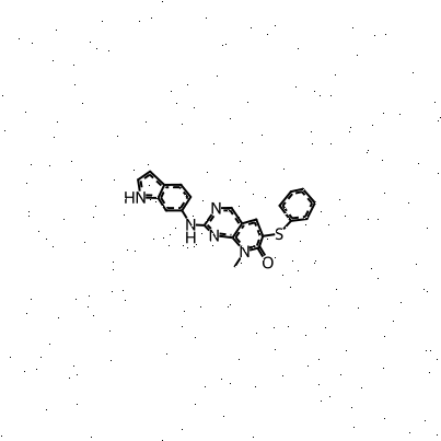 Cn1c(=O)c(Sc2ccccc2)cc2cnc(Nc3ccc4cc[nH]c4c3)nc21